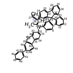 C=C(C)N(c1cccc(C2(c3ccccc3)c3ccccc3-c3ccc(/C=C\C)cc32)c1)c1ccc2c(c1)sc1cc(-c3ccccc3)ccc12